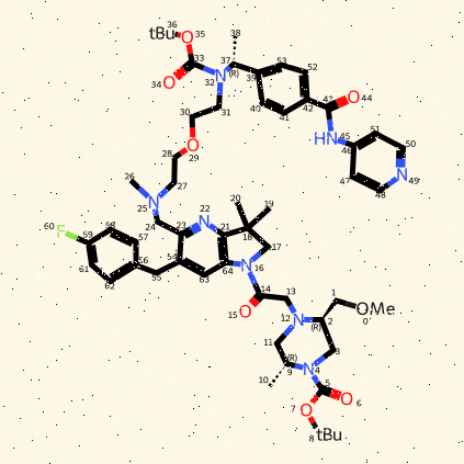 COC[C@H]1CN(C(=O)OC(C)(C)C)[C@H](C)CN1CC(=O)N1CC(C)(C)c2nc(CN(C)CCOCCN(C(=O)OC(C)(C)C)[C@H](C)c3ccc(C(=O)Nc4ccncc4)cc3)c(Cc3ccc(F)cc3)cc21